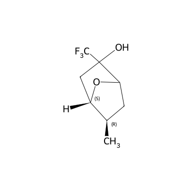 C[C@@H]1CC2O[C@H]1CC2(O)C(F)(F)F